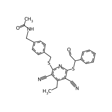 CCc1c(C#N)c(SCc2ccc(CNC(C)=O)cc2)nc(SC(C=O)c2ccccc2)c1C#N